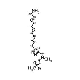 CN(CCS(C)(=O)=O)Cc1cn(CCOCCOCCOCCN)nn1